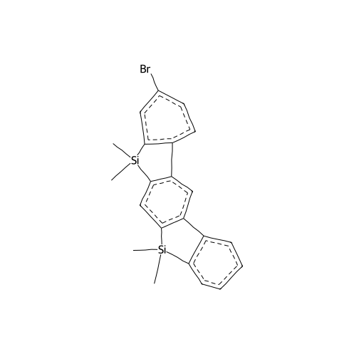 C[Si]1(C)c2ccccc2-c2cc3c(cc21)[Si](C)(C)c1cc(Br)ccc1-3